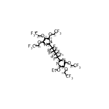 CCOc1nc(C(F)(F)C(F)(F)C(F)(F)C(F)(F)c2nc(OCC(F)(F)F)c(OCC(F)(F)F)c(OCC(F)(F)F)n2)nc(OCC(F)(F)F)c1OCC(F)(F)F